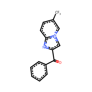 O=C(c1ccccc1)c1cn2cc(C(F)(F)F)ccc2n1